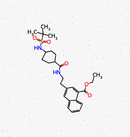 CCOC(=O)c1cc(CCNC(=O)C2CCC(NS(=O)(=O)C(C)(C)C)CC2)cc2ccccc12